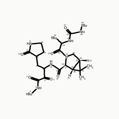 CCCCNC(=O)C(=O)C(CC1CCNC1=O)NC(=O)[C@@H]1[C@@H]2[C@H](CN1C(=O)C(NC(=O)NC(C)(C)C)C(C)(C)C)C2(C)C